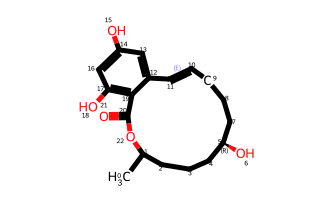 CC1CCC[C@H](O)CCC/C=C/c2cc(O)cc(O)c2C(=O)O1